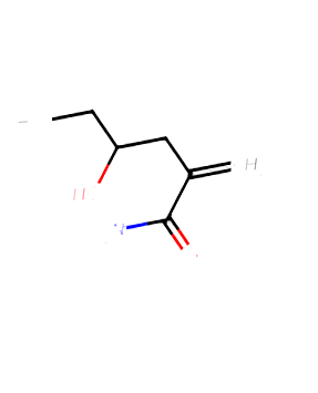 C=C(CC(O)CC)C(N)=O